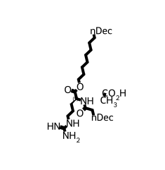 CC(=O)O.CCCCCCCCCCCCCCCCCCOC(=O)[C@H](CCCNC(=N)N)NC(=O)CCCCCCCCCCC